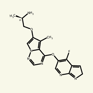 Cc1c(OC[C@@H](C)N)cn2ncnc(Oc3cnc4c(c3F)=CCN=4)c12